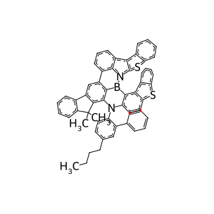 CCCCc1ccc(N2c3c#cc4sc5ccccc5c4c3B3c4c(cc5c(c42)C(C)(C)c2ccccc2-5)-c2cccc4c5c6ccccc6sc5n3c24)c(C2=CC=CCC2)c1